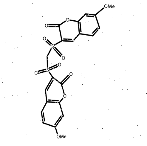 COc1ccc2cc(S(=O)(=O)CS(=O)(=O)c3cc4ccc(OC)cc4oc3=O)c(=O)oc2c1